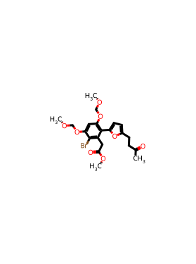 COCOc1cc(OCOC)c(-c2ccc(CCC(C)=O)o2)c(CC(=O)OC)c1Br